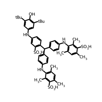 Cc1cc(C)c(S(=O)(=O)O)c(C)c1Nc1ccc(C(c2ccc(Nc3c(C)cc(C)c(S(=O)(=O)O)c3C)cc2)c2ccc(Nc3cc(C(C)(C)C)c(O)c(C(C)(C)C)c3)cc2S(=O)(=O)O)cc1